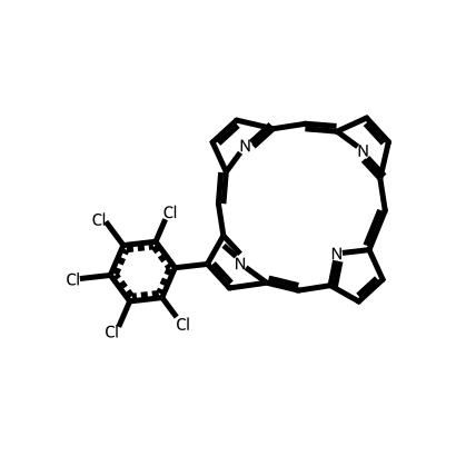 Clc1c(Cl)c(Cl)c(C2=CC3=CC4=NC(=CC5=NC(=CC6=NC(=CC2=N3)C=C6)C=C5)C=C4)c(Cl)c1Cl